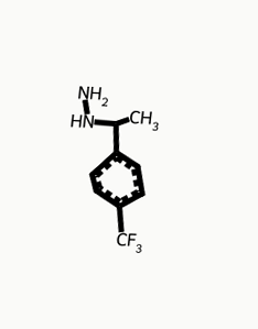 CC(NN)c1ccc(C(F)(F)F)cc1